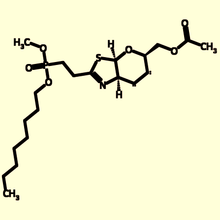 CCCCCCCCOP(=O)(CCC1=N[C@@H]2[C][C][C@H](COC(C)=O)O[C@@H]2S1)OC